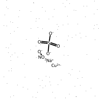 O=S(=O)([O-])[O-].O=[N+]([O-])[O-].[Cu+2].[Na+]